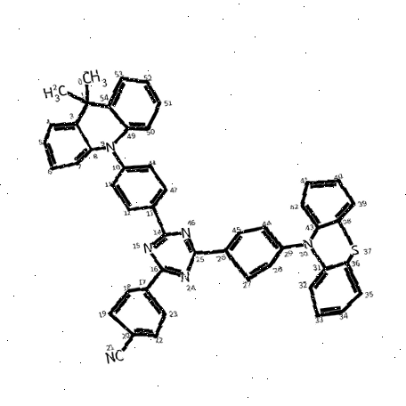 CC1(C)c2ccccc2N(c2ccc(-c3nc(-c4ccc(C#N)cc4)nc(-c4ccc(N5c6ccccc6Sc6ccccc65)cc4)n3)cc2)c2ccccc21